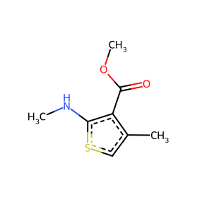 CNc1scc(C)c1C(=O)OC